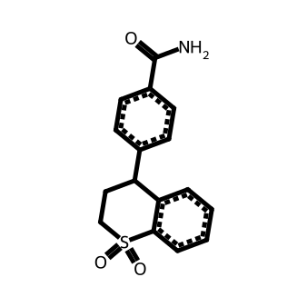 NC(=O)c1ccc(C2CCS(=O)(=O)c3ccccc32)cc1